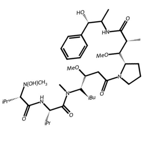 CC[C@H](C)[C@@H](C(CC(=O)N1CCC[C@H]1C(OC)[C@@H](C)C(=O)NC(C)[C@@H](O)c1ccccc1)OC)N(C)C(=O)[C@@H](NC(=O)[C@H](C(C)C)N(C)O)C(C)C